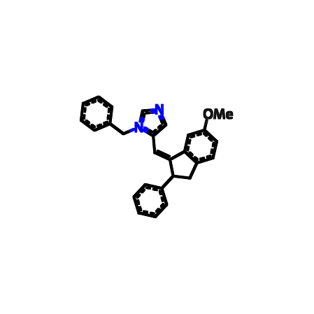 COc1ccc2c(c1)C(=Cc1cncn1Cc1ccccc1)C(c1ccccc1)C2